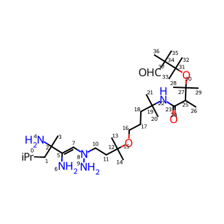 CC(C)CC(C)(N)/C(N)=C/N(N)CCC(C)(C)OCCCC(C)(C)NC(=O)C(C)C(C)(C)OC(C)(C)C(C)(C)C=O